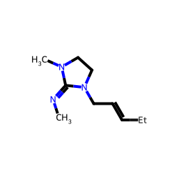 CC/C=C/CN1CCN(C)/C1=N/C